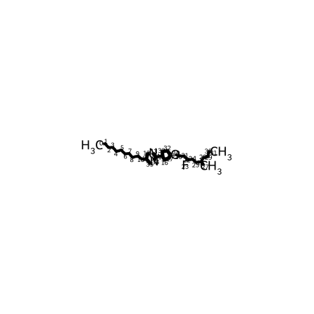 CCCCCCCCCCCc1cnc(-c2ccc(OCCC(F)CCC(C)CCCC)cc2)nc1